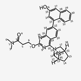 CN(C)C(=O)CCOc1nc(N2C[C@H]3CC[C@@H](C2)N3)c2ccc(-c3cc(O)cc4ccccc34)cc2n1